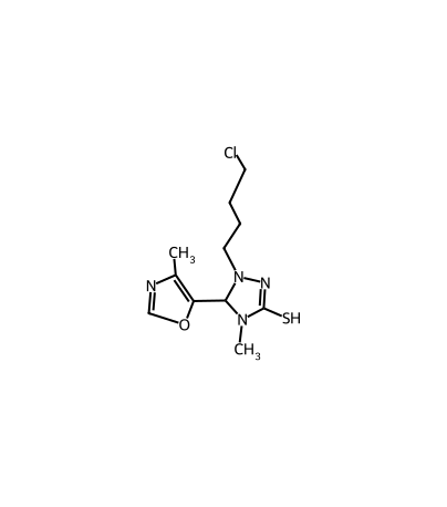 Cc1ncoc1C1N(CCCCCl)N=C(S)N1C